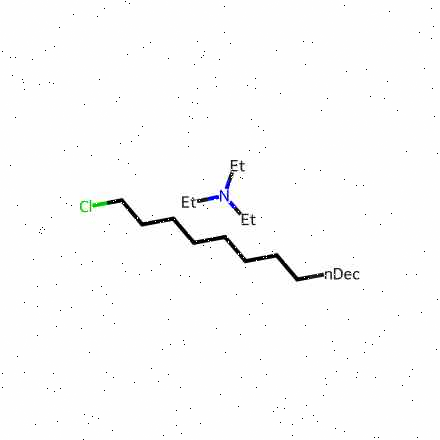 CCCCCCCCCCCCCCCCCCCl.CCN(CC)CC